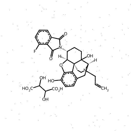 C=CCN1CC[C@]23c4c5ccc(O)c4O[C@H]2[C@H](N2C(=O)c4cccc(F)c4C2=O)CCC3(O)[C@H]1C5.O=C(O)C(O)C(O)C(=O)O